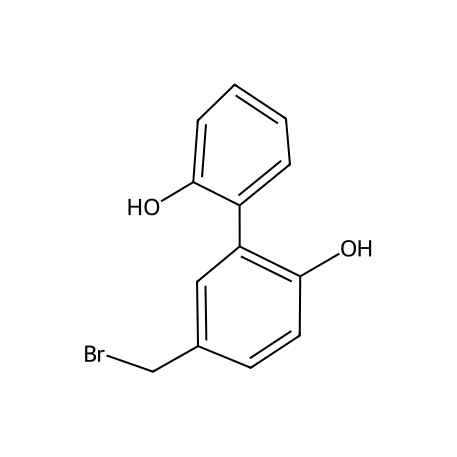 Oc1ccccc1-c1cc(CBr)ccc1O